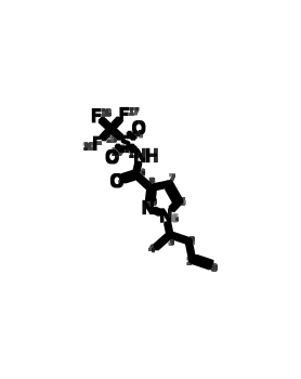 C=CCC(C)n1ccc(C(=O)NS(=O)(=O)C(F)(F)F)n1